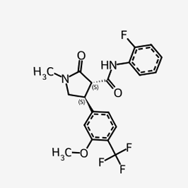 COc1cc([C@H]2CN(C)C(=O)[C@@H]2C(=O)Nc2ccccc2F)ccc1C(F)(F)F